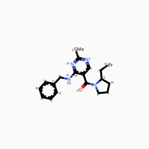 CSc1ncc(C(=O)N2CCCC2CC(C)C)c(NCc2ccccc2)n1